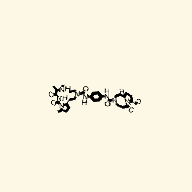 CCN(CC[C@H]1CCC(C)N1C(=O)NC(=O)C(C)NC)C(=O)Nc1ccc(NC(=O)N2CCC(=O)N3[C@H](CC[C@H]3C=O)CC2)cc1